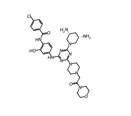 N[C@@H]1C[C@H](N)CN(c2nc(Nc3ccc(NC(=O)c4ccc(Cl)cc4)c(O)c3)nc(N3CCN(CC(=O)N4CCOCC4)CC3)n2)C1